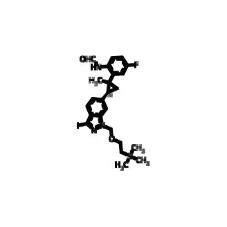 CC1(c2cc(F)ccc2NC=O)C[C@H]1c1ccc2c(I)nn(COCC[Si](C)(C)C)c2c1